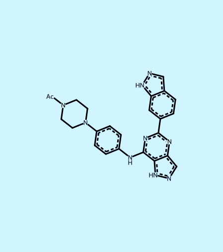 CC(=O)N1CCN(c2ccc(Nc3nc(-c4ccc5cn[nH]c5c4)nc4cn[nH]c34)cc2)CC1